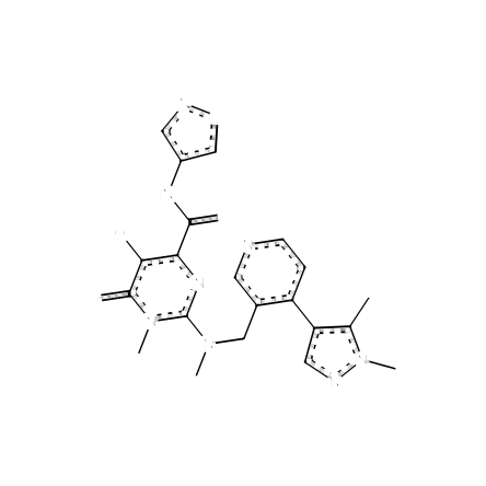 Cc1c(-c2ccncc2CN(C)c2nc(C(=O)Nc3cnoc3)c(O)c(=O)n2C)cnn1C